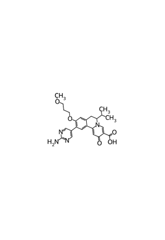 COCCCOc1cc2c(cc1-c1cnc(N)nc1)-c1cc(=O)c(C(=O)O)cn1C(C(C)C)C2